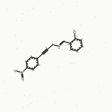 O=[N+]([O-])c1ccc(C#CC/N=C/c2ccccc2Cl)cc1